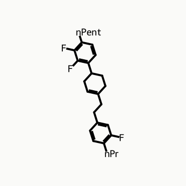 CCCCCc1ccc(C2CC=C(CCc3ccc(CCC)c(F)c3)CC2)c(F)c1F